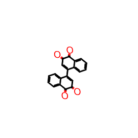 O=C1C=C(C2=CC(=O)C(=O)c3ccccc32)c2ccccc2C1=O